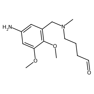 COc1cc(N)cc(CN(C)CCCC=O)c1OC